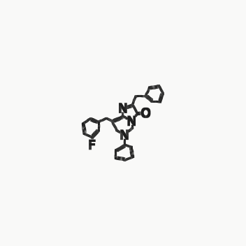 O=C1C(Cc2ccccc2)=NC2=C(Cc3cccc(F)c3)CN(c3ccccc3)CN12